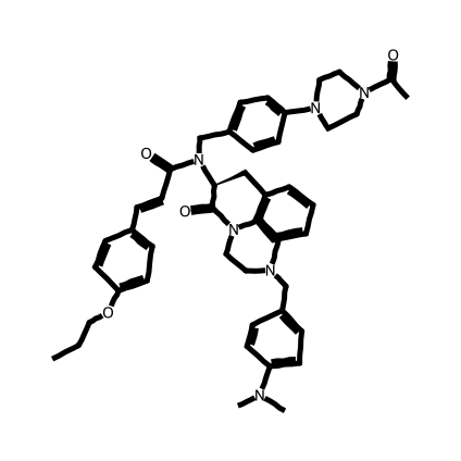 CCCOc1ccc(C=CC(=O)N(Cc2ccc(N3CCN(C(C)=O)CC3)cc2)[C@@H](Cc2ccccc2)C(=O)N2CCN(Cc3ccc(N(C)C)cc3)CC2)cc1